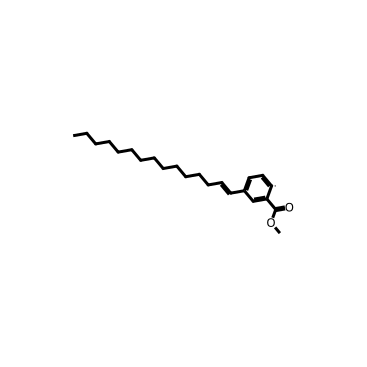 CCCCCCCCCCCCCC=Cc1cc[c]c(C(=O)OC)c1